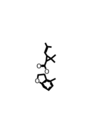 CC(C)=CC1C(C(=O)OC2COc3cccc(C)c32)C1(C)C